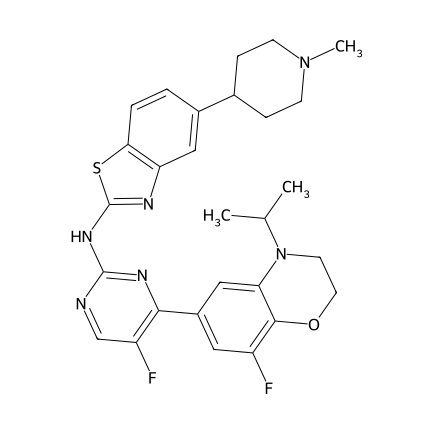 CC(C)N1CCOc2c(F)cc(-c3nc(Nc4nc5cc(C6CCN(C)CC6)ccc5s4)ncc3F)cc21